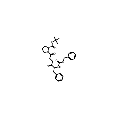 CC(C)(C)OC(=O)[C@@H]1CCCN1C(=O)CCC(=O)[C@H](Cc1ccccc1)NC(=O)OCc1ccccc1